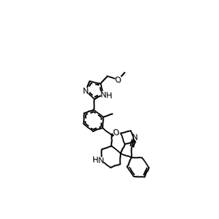 COCc1cnc(-c2cccc(C(=O)C3CNCCC3(C3CCC3)C3(C#N)C=CC=CC3)c2C)[nH]1